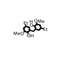 CCc1cc(Cc2cc(CC)cc(OC)c2O)c(O)c(OC)c1